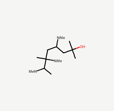 CNC([CH]C(C)(NC)C(C)NC)CC(C)(C)O